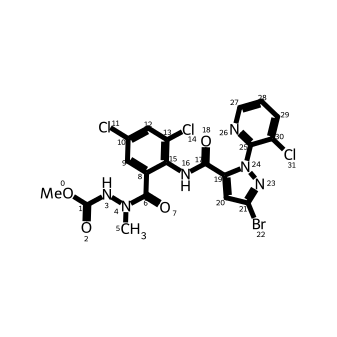 COC(=O)NN(C)C(=O)c1cc(Cl)cc(Cl)c1NC(=O)c1cc(Br)nn1-c1ncccc1Cl